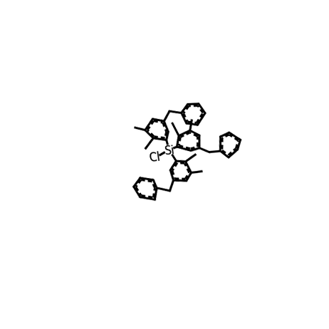 Cc1cc(Cc2ccccc2)cc([Si](Cl)(c2cc(Cc3ccccc3)cc(C)c2C)c2cc(Cc3ccccc3)cc(C)c2C)c1C